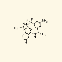 Cc1nnc2nc(NC(C)c3cc(N)cc(C(F)(F)F)c3)c3c(n12)CCNC3